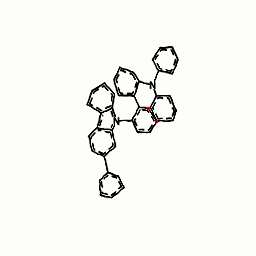 c1ccc(-c2ccc3c4ccccc4n(-c4ccccc4-c4ccccc4N(c4ccccc4)c4ccccc4)c3c2)cc1